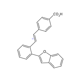 O=C(O)c1ccc(/C=C/c2ccccc2-c2cc3ccccc3o2)cc1